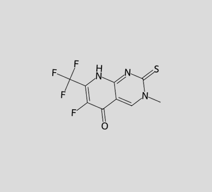 Cn1cc2c(=O)c(F)c(C(F)(F)F)[nH]c2nc1=S